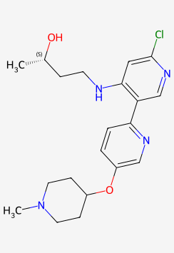 C[C@H](O)CCNc1cc(Cl)ncc1-c1ccc(OC2CCN(C)CC2)cn1